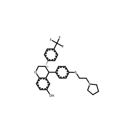 Oc1ccc2c(c1)C(c1ccc(SCCN3CCCC3)cc1)[C@@H](c1ccc(C(F)(F)F)cc1)CO2